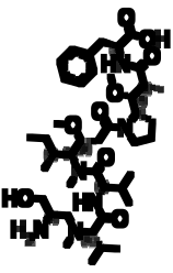 CC[C@H](C)[C@@H]([C@@H](CC(=O)N1CCC[C@H]1[C@H](OC)[C@@H](C)C(=O)N[C@@H](Cc1ccccc1)C(=O)O)OC)N(C)C(=O)[C@@H](NC(=O)[C@H](C(C)C)N(C)C[C@@H](N)CO)C(C)C